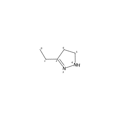 CCC1=NNCC1